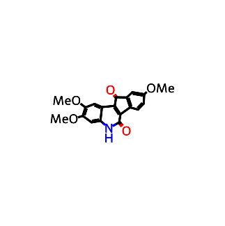 COc1ccc2c(c1)C(=O)c1c-2c(=O)[nH]c2cc(OC)c(OC)cc12